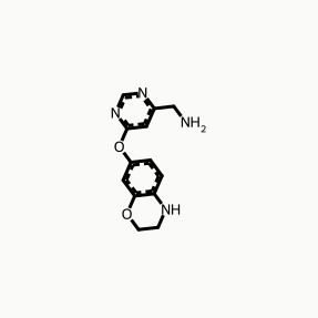 NCc1cc(Oc2ccc3c(c2)OCCN3)ncn1